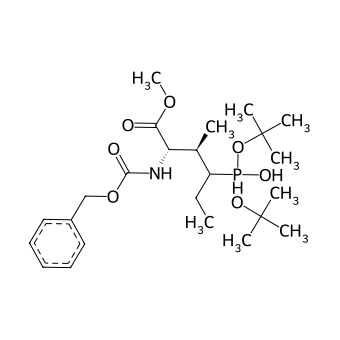 CCC([C@H](C)[C@H](NC(=O)OCc1ccccc1)C(=O)OC)[PH](O)(OC(C)(C)C)OC(C)(C)C